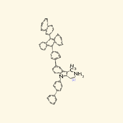 Cc1c(/C=C\N)n(-c2ccc(-c3ccccc3)cc2)c2ccc(-c3ccc(-c4c5ccccc5c(-c5ccc6ccccc6c5)c5ccccc45)cc3)cc12